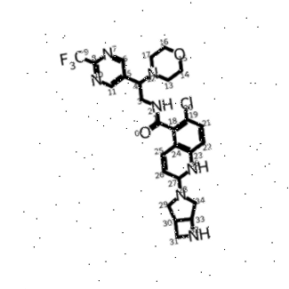 O=C(NCC(c1cnc(C(F)(F)F)nc1)N1CCOCC1)c1c(Cl)ccc2c1C=CC(N1CC3CNC3C1)N2